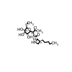 CCCCC[C@H]1CN[C@@H]1C(=O)N[C@@H]([C@H]1O[C@H](SC)[C@H](O)[C@@H](O)[C@H]1O)[C@H](C)Cl